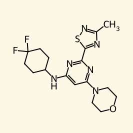 Cc1nsc(-c2nc(NC3CCC(F)(F)CC3)cc(N3CCOCC3)n2)n1